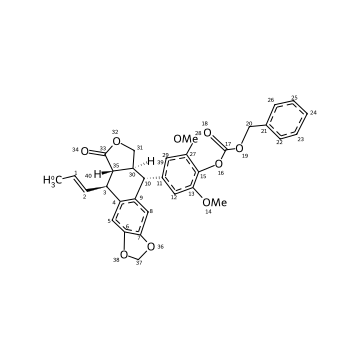 CC=C[C@@H]1c2cc3c(cc2[C@@H](c2cc(OC)c(OC(=O)OCc4ccccc4)c(OC)c2)[C@@H]2COC(=O)[C@H]21)OCO3